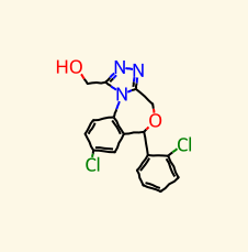 OCc1nnc2n1-c1ccc(Cl)cc1C(c1ccccc1Cl)OC2